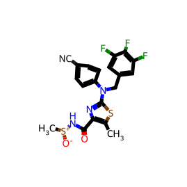 Cc1sc(N(Cc2cc(F)c(F)c(F)c2)c2ccc(C#N)cc2)nc1C(=O)N[S+](C)[O-]